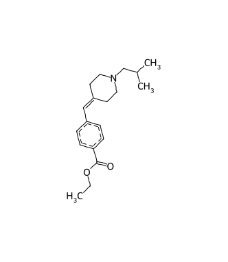 CCOC(=O)c1ccc(C=C2CCN(CC(C)C)CC2)cc1